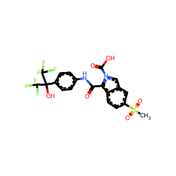 CS(=O)(=O)c1ccc2c(C(=O)Nc3ccc(C(O)(C(F)(F)F)C(F)(F)F)cc3)n(C(=O)O)cc2c1